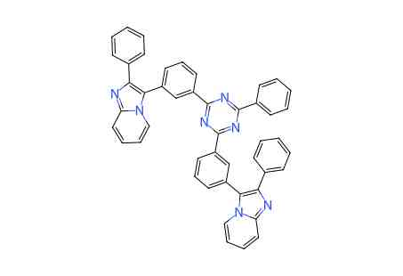 c1ccc(-c2nc(-c3cccc(-c4c(-c5ccccc5)nc5ccccn45)c3)nc(-c3cccc(-c4c(-c5ccccc5)nc5ccccn45)c3)n2)cc1